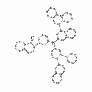 c1ccc(-c2cc(N(c3cc(-c4cc5ccccc5c5ccccc45)c4ccccc4c3)c3ccc4oc5c6ccccc6ccc5c4c3)ccc2-c2ccc3ccccc3c2)cc1